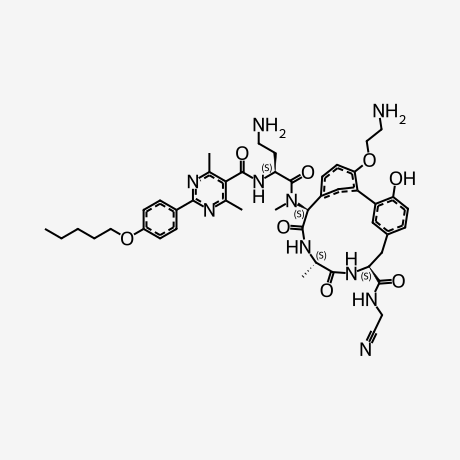 CCCCCOc1ccc(-c2nc(C)c(C(=O)N[C@@H](CCN)C(=O)N(C)[C@@H]3C(=O)N[C@@H](C)C(=O)N[C@H](C(=O)NCC#N)Cc4ccc(O)c(c4)-c4cc3ccc4OCCN)c(C)n2)cc1